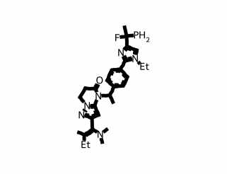 CC/C(C)=C(/c1cc2n(n1)CCC(=O)N2C(C)c1ccc(-c2nc(C(C)(F)P)cn2CC)cc1)N(C)C